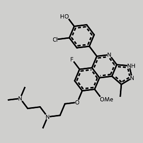 COc1c(OCCN(C)CCN(C)C)cc(F)c2c(-c3ccc(O)c(Cl)c3)nc3[nH]nc(C)c3c12